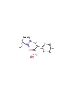 Cc1cccc(SC(C(=O)NO)c2ccccc2)n1